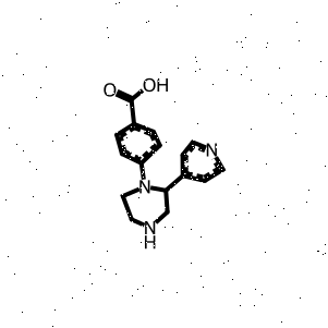 O=C(O)c1ccc(N2CCNCC2c2ccncc2)cc1